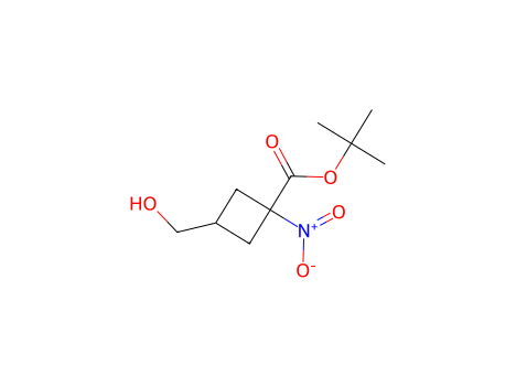 CC(C)(C)OC(=O)C1([N+](=O)[O-])CC(CO)C1